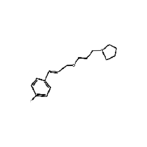 Fc1ccc(/C=C/COCCCN2CCCC2)cc1